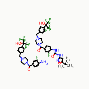 CC(C)(C)c1cc(NC(=O)Nc2ccc(C(=O)N3CCN(Cc4ccc(C(O)(C(F)(F)F)C(F)(F)F)cc4)CC3)cc2F)no1.Nc1ccc(C(=O)N2CCN(Cc3ccc(C(O)(C(F)(F)F)C(F)(F)F)cc3)CC2)cc1F